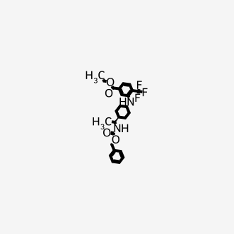 CCOC(=O)c1ccc(C(F)(F)F)c(N[C@H]2CC[C@H](C(C)NC(=O)OCc3ccccc3)CC2)c1